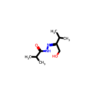 CC(C)C(=O)N/N=C(\CO)C(C)C